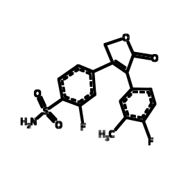 Cc1cc(C2=C(c3ccc(S(N)(=O)=O)c(F)c3)COC2=O)ccc1F